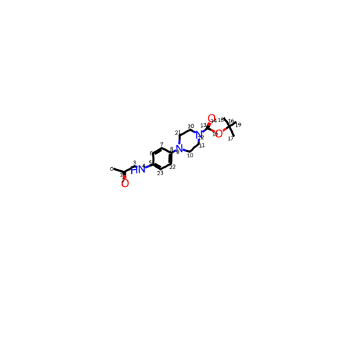 CC(=O)CNc1ccc(N2CCN(C(=O)OC(C)(C)C)CC2)cc1